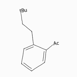 CC(=O)c1ccccc1CCC(C)(C)C